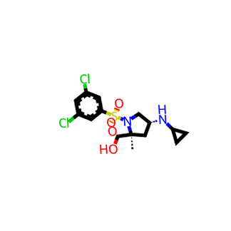 C[C@@]1(C(=O)O)C[C@@H](NC2CC2)CN1S(=O)(=O)c1cc(Cl)cc(Cl)c1